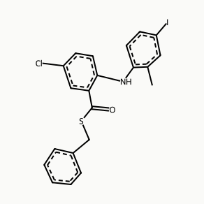 Cc1cc(I)ccc1Nc1ccc(Cl)cc1C(=O)SCc1ccccc1